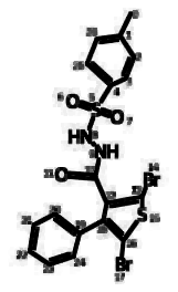 Cc1ccc(S(=O)(=O)NNC(=O)c2c(Br)sc(Br)c2-c2ccccc2)cc1